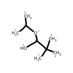 CC(C)OC(O)C(C)(C)C